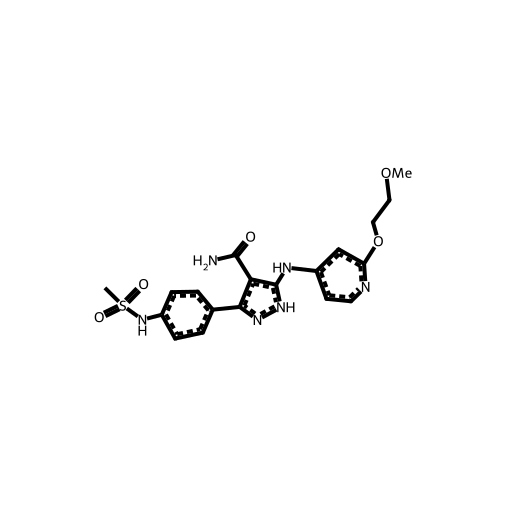 COCCOc1cc(Nc2[nH]nc(-c3ccc(NS(C)(=O)=O)cc3)c2C(N)=O)ccn1